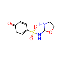 O=C1C=CC(S(=O)(=O)NC2NCCO2)=CC1